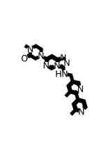 Cc1cc(-c2ncc(CNc3nnc4cc(N5CCN(C)C(=O)C5)ncn34)cc2C)ccn1